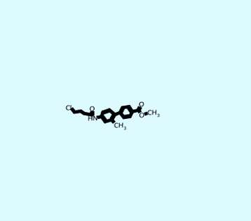 COC(=O)c1ccc(-c2ccc(NC(=O)CCCCl)cc2C)cc1